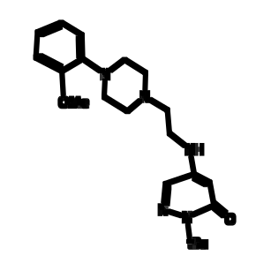 COc1ccccc1N1CCN(CCNc2cnn(C(C)(C)C)c(=O)c2)CC1